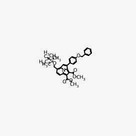 COC(=O)c1c(C(=O)OC)c2c(-c3ccc(OCc4ccccc4)cc3)cc3c(CO[Si](C)(C)C(C)(C)C)ccc1n32